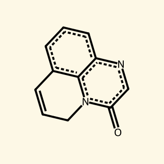 O=c1cnc2cccc3c2n1CC=C3